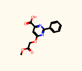 COC(=O)COc1cc(C(=O)O)nc(-c2ccccc2)n1